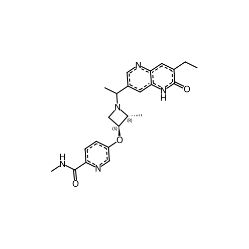 CCc1cc2ncc(C(C)N3C[C@H](Oc4ccc(C(=O)NC)nc4)[C@H]3C)cc2[nH]c1=O